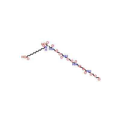 O=[C]COCCOCCNC(=O)COCCOCCNC(=O)COCCOCCNC(=O)COCCOCCNC(=O)CC[C@H](NC(=O)CCCCCCCCCCCCC(=O)O)C(=O)O